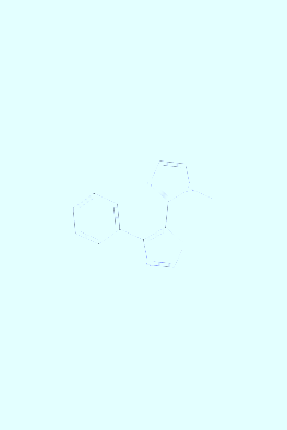 Cn1ccnc1-c1scnc1-c1ccccc1